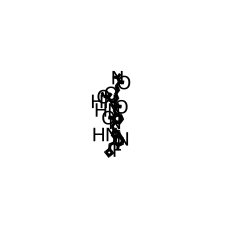 COC(=O)NC(CC/C=C/C(=O)N(C)C)C(=O)Nc1cccn(Cc2cc3ncc(F)c(CC4CCC4)c3[nH]2)c1=O